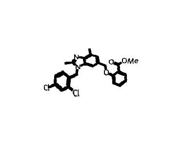 COC(=O)c1ccccc1OCc1cc(C)c2nc(C)n(Cc3ccc(Cl)cc3Cl)c2c1